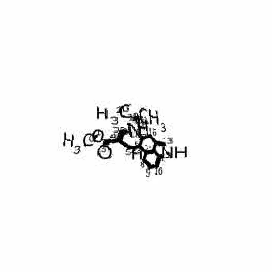 COC(=O)C1C[C@@H]2c3cccc4[nH]cc(c34)C[C@H]2N(C(C)C)C1